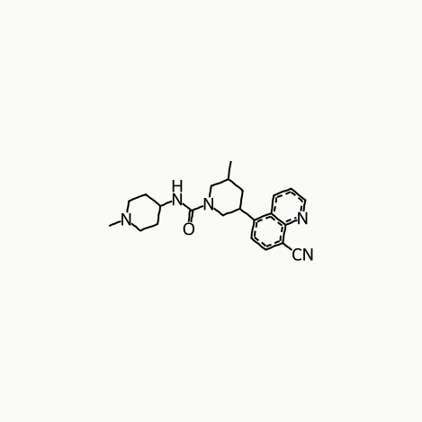 CC1CC(c2ccc(C#N)c3ncccc23)CN(C(=O)NC2CCN(C)CC2)C1